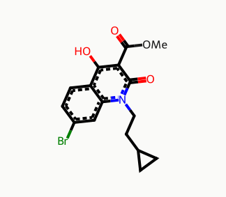 COC(=O)c1c(O)c2ccc(Br)cc2n(CCC2CC2)c1=O